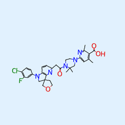 Cc1cc(N2CCN(C(=O)Cc3ccc4c(n3)C3(CCOC3)CN4c3ccc(Cl)c(F)c3)C(C)(C)C2)nc(C)c1C(=O)O